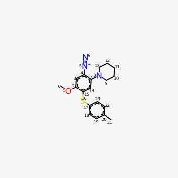 COc1cc([N+]#N)c(N2CCCCC2)cc1Sc1ccc(C)cc1